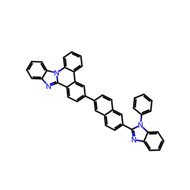 c1ccc(-n2c(-c3ccc4cc(-c5ccc6c(c5)c5ccccc5n5c7ccccc7nc65)ccc4c3)nc3ccccc32)cc1